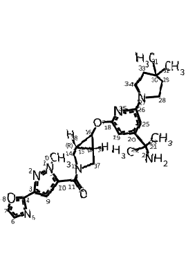 Cn1nc(-c2ncco2)cc1C(=O)N1C[C@@H]2C(Oc3cc(C(C)(C)N)cc(N4CCC(C)(C)CC4)n3)[C@@H]2C1